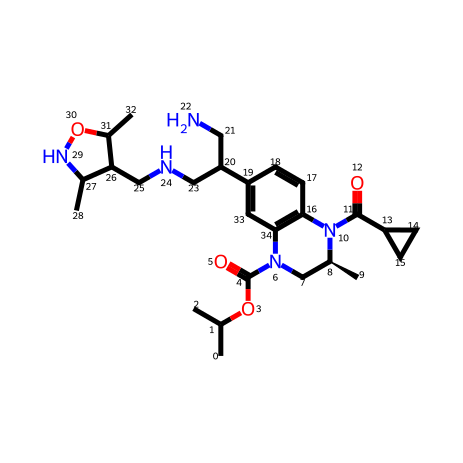 CC(C)OC(=O)N1C[C@H](C)N(C(=O)C2CC2)c2ccc(C(CN)CNCC3C(C)NOC3C)cc21